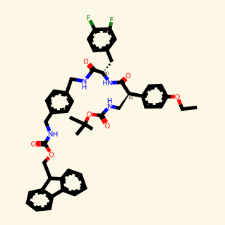 CCOc1ccc([C@@H](CNC(=O)OC(C)(C)C)C(=O)N[C@@H](Cc2ccc(F)c(F)c2)C(=O)NCc2ccc(CNC(=O)OCC3c4ccccc4-c4ccccc43)cc2)cc1